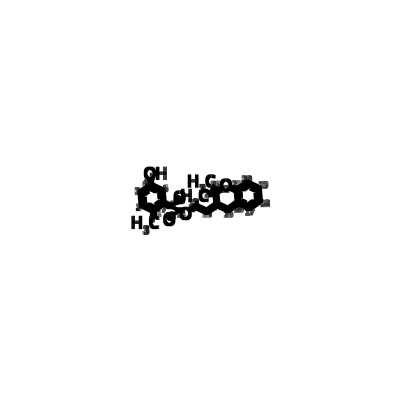 Cc1ccc(O)cc1S(=O)(=O)OCCC1Cc2ccccc2OC1(C)C